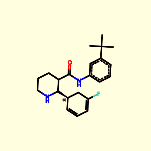 CC(C)(C)c1cccc(NC(=O)C2CCCNC2[C@@H]2C=CC=C(F)C2)c1